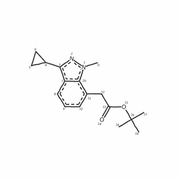 Cn1nc(C2CC2)c2cccc(CC(=O)OC(C)(C)C)c21